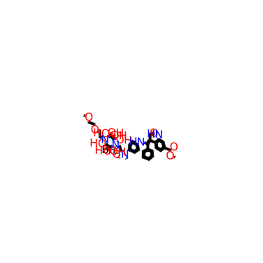 BC1(O)N(CCOCCOC)C(O)(O)C(O)(O)N(CC(=O)N(C)c2ccc(N/C(=C(\C=O)c3ccc(C(=O)OC)cc3NC)c3ccccc3)cc2)C1(O)O